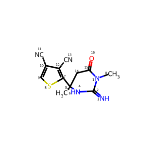 CN1C(=N)N[C@](C)(c2scc(C#N)c2C#N)CC1=O